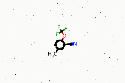 Cc1ccc(OC(F)(F)F)c(C#N)c1